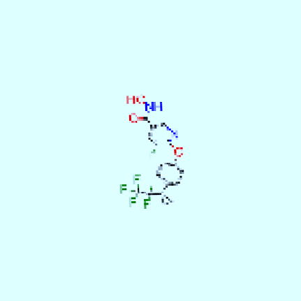 O=C(NO)c1cnc(Oc2ccc(C3(C(F)(F)C(F)(F)F)CC3)cc2)c(F)c1